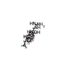 N=C(N)NCCN[C@H]1CCC23CCN(CC4CC4)[C@H](Cc4ccc(O)cc42)[C@]3(O)C1